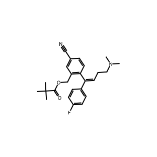 CN(C)CCC=C(c1ccc(F)cc1)c1ccc(C#N)cc1COC(=O)C(C)(C)C